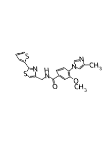 COc1cc(C(=O)NCc2csc(-c3cccs3)n2)ccc1-n1cnc(C)c1